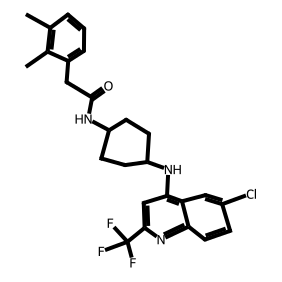 Cc1cccc(CC(=O)NC2CCC(Nc3cc(C(F)(F)F)nc4ccc(Cl)cc34)CC2)c1C